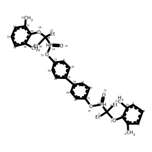 CCC(CC)(Oc1c(C)cccc1C)[PH](=O)Oc1ccc(-c2ccc(O[PH](=O)C(CC)(CC)Oc3c(C)cccc3C)cc2)cc1